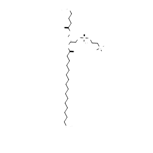 CCCCCCCCCCCCCCCCCCCCCCCCCC(=O)O[C@H](COC(=O)CCCCCCCCCCCCC)COP(=O)(O)OCC[N+](C)(C)C